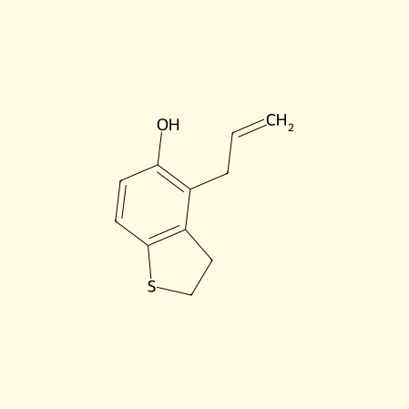 C=CCc1c(O)ccc2c1CCS2